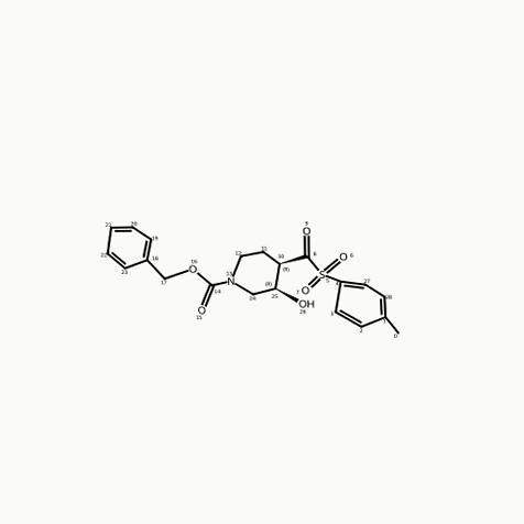 Cc1ccc(S(=O)(=O)C(=O)[C@@H]2CCN(C(=O)OCc3ccccc3)C[C@@H]2O)cc1